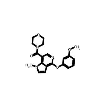 COc1cccc(Oc2ncc(C(=O)N3CCOCC3)c3c2ccn3C)c1